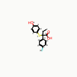 CCC(Sc1ccc(O)cc1)(C(=O)O)c1ccc(F)cc1